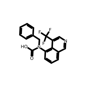 O=C(O)N(Cc1ccccc1)c1cccc2cncc(C(F)(F)F)c12